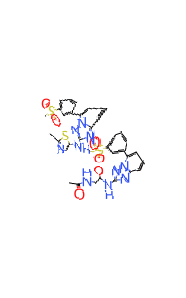 CC(=O)NCC(=O)Nc1nc2cccc(-c3cccc(S(C)(=O)=O)c3)n2n1.Cc1ncc(Nc2nc3cccc(-c4cccc(S(C)(=O)=O)c4)n3n2)s1